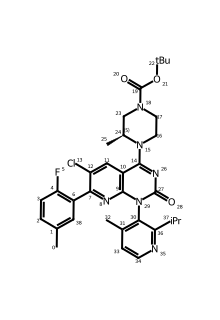 Cc1ccc(F)c(-c2nc3c(cc2Cl)c(N2CCN(C(=O)OC(C)(C)C)C[C@@H]2C)nc(=O)n3-c2c(C)ccnc2C(C)C)c1